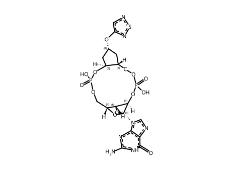 Nc1nc2c(ncn2[C@@H]2O[C@@H]3COP(=O)(O)O[C@H]4C[C@H](Oc5cnsn5)C[C@@H]4COP(=O)(O)O[C@@H]2[C@@H]3O)c(=O)[nH]1